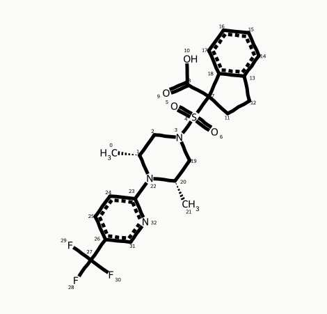 C[C@@H]1CN(S(=O)(=O)C2(C(=O)O)CCc3ccccc32)C[C@H](C)N1c1ccc(C(F)(F)F)cn1